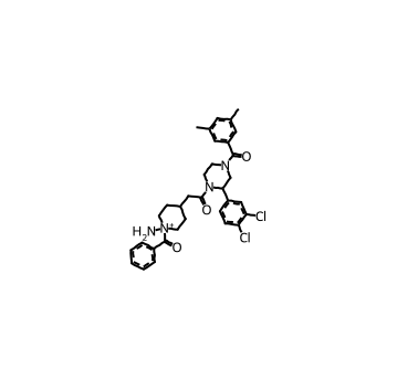 Cc1cc(C)cc(C(=O)N2CCN(C(=O)CC3CC[N+](N)(C(=O)c4ccccc4)CC3)C(c3ccc(Cl)c(Cl)c3)C2)c1